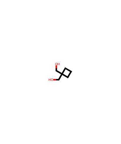 OCC1(CO)C[CH]C1